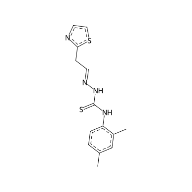 Cc1ccc(NC(=S)NN=CCc2nccs2)c(C)c1